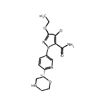 CCOc1nn(-c2ccc([C@H]3CNCCO3)nc2)c(C(N)=O)c1Cl